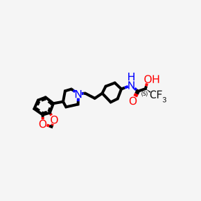 O=C(NC1CCC(CCN2CCC(c3cccc4c3OCO4)CC2)CC1)[C@H](O)C(F)(F)F